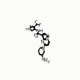 N[C@H]1CCCN(c2ccn3ncc(C(=O)Nc4c[nH]nc4C(F)F)c3n2)C1